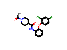 CC(C)C(=O)N1CCC(C(=O)Nc2ccccc2Oc2ccc(Cl)cc2Cl)CC1